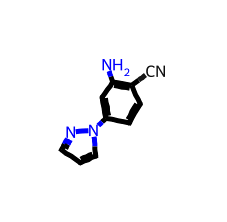 N#Cc1ccc(-n2cccn2)cc1N